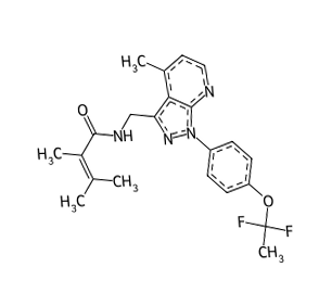 CC(C)=C(C)C(=O)NCc1nn(-c2ccc(OC(C)(F)F)cc2)c2nccc(C)c12